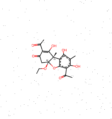 CCO[C@@]12CC(=O)C(C(C)=O)=C(O)[C@]1(C)c1c(O)c(C)c(O)c(C(C)=O)c1O2